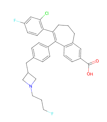 O=C(O)c1ccc2c(c1)CCCC(c1ccc(F)cc1Cl)=C2c1ccc(CC2CN(CCCF)C2)cc1